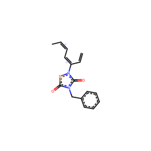 C=C/C(=C\C=C/C)n1sc(=O)n(Cc2ccccc2)c1=O